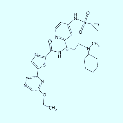 CCOc1cncc(-c2cnc(C(=O)N[C@@H](CCN(C)C3CCCCC3)c3cc(NS(=O)(=O)C4CC4)ccn3)s2)n1